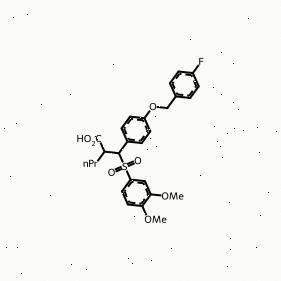 CCCC(C(=O)O)C(c1ccc(OCc2ccc(F)cc2)cc1)S(=O)(=O)c1ccc(OC)c(OC)c1